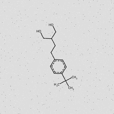 CC(C)(C)c1ccc(CCC(CO)CO)cc1